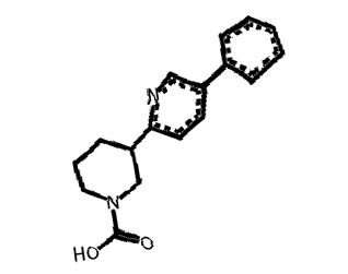 O=C(O)N1CCCC(c2ccc(-c3ccccc3)cn2)C1